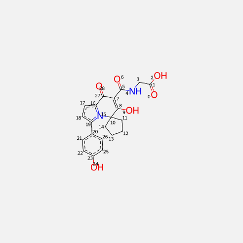 O=C(O)CNC(=O)C1=C(O)C2(CCCC2)n2c(ccc2-c2ccc(O)cc2)C1=O